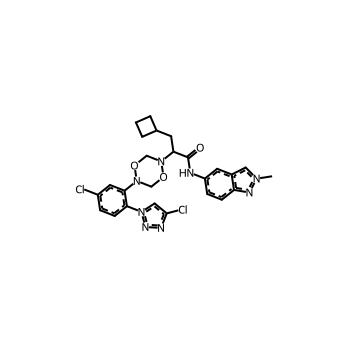 Cn1cc2cc(NC(=O)C(CC3CCC3)N3CON(c4cc(Cl)ccc4-n4cc(Cl)nn4)CO3)ccc2n1